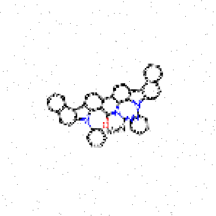 CNC(=N)n1c(=O)c2c(ccc3c4c5ccccc5ccc4n(-c4ccccc4)c32)c2ccc3c4c5ccccc5ccc4n(-c4ccccc4)c3c21